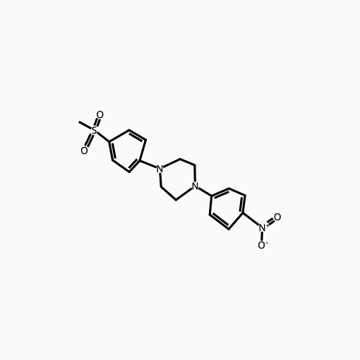 CS(=O)(=O)c1ccc(N2CCN(c3ccc([N+](=O)[O-])cc3)CC2)cc1